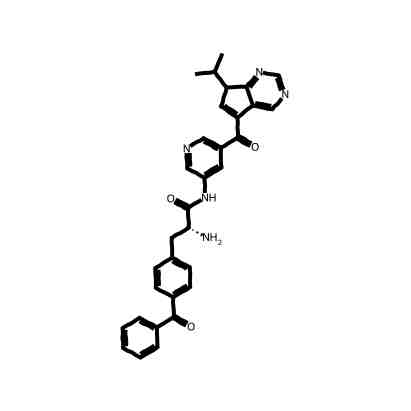 CC(C)C1C=C(C(=O)c2cncc(NC(=O)[C@H](N)Cc3ccc(C(=O)c4ccccc4)cc3)c2)c2cncnc21